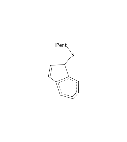 CCCC(C)SC1C=Cc2ccccc21